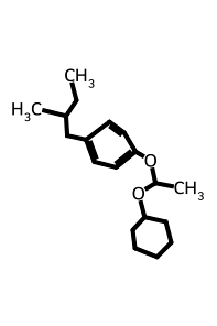 CCC(C)Cc1ccc(OC(C)OC2CCCCC2)cc1